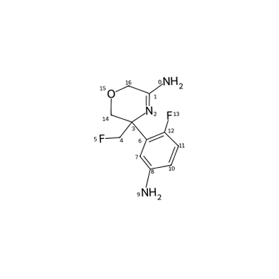 NC1=NC(CF)(c2cc(N)ccc2F)COC1